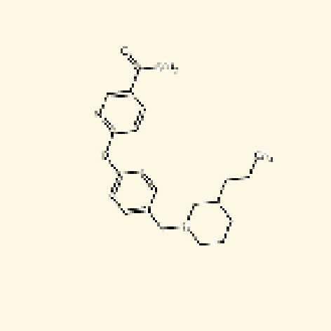 CCCC1CCCN(Cc2ccc(Oc3ccc(C(N)=O)cn3)cc2)C1